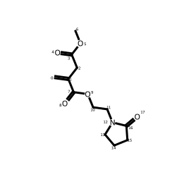 C=C(CC(=O)OC)C(=O)OCCN1CCCC1=O